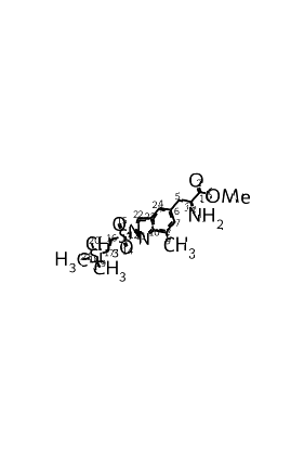 COC(=O)C(N)Cc1cc(C)c2nn(S(=O)(=O)CC[Si](C)(C)C)cc2c1